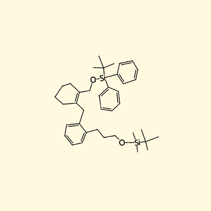 CC(C)(C)[Si](C)(C)OCCCc1ccccc1CC1=C(CO[Si](c2ccccc2)(c2ccccc2)C(C)(C)C)CCCC1